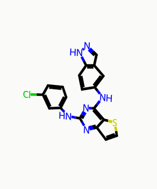 Clc1cccc(Nc2nc(Nc3ccc4[nH]ncc4c3)c3sccc3n2)c1